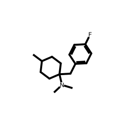 CC1CCC(Cc2ccc(F)cc2)(N(C)C)CC1